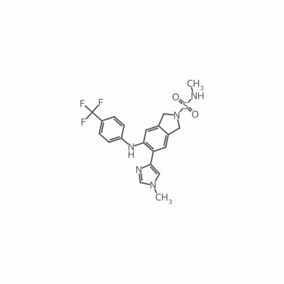 CNS(=O)(=O)N1Cc2cc(Nc3ccc(C(F)(F)F)cc3)c(-c3cn(C)cn3)cc2C1